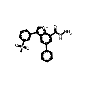 CS(=O)(=O)c1cccc(-c2c[nH]c3c(C(=O)NN)cc(-c4ccccc4)cc23)c1